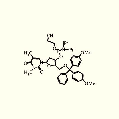 COc1ccc(C(OC[C@H]2O[C@@H](n3cc(C)c(=O)n(C)c3=O)C[C@H]2OP(OCCC#N)N(C(C)C)C(C)C)(c2ccccc2)c2ccc(OC)cc2)cc1